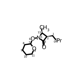 CC(C)C[C@H]1C(=O)N(OC2CCCCO2)[C@H]1C